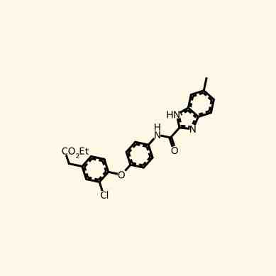 CCOC(=O)Cc1ccc(Oc2ccc(NC(=O)c3nc4ccc(C)cc4[nH]3)cc2)c(Cl)c1